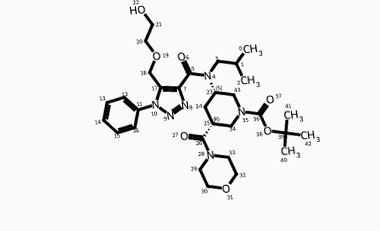 CC(C)CN(C(=O)c1nnn(-c2ccccc2)c1COCCO)[C@H]1C[C@@H](C(=O)N2CCOCC2)CN(C(=O)OC(C)(C)C)C1